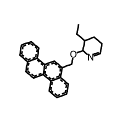 CCC1CCC=NC1OCc1cc2c3ccccc3ccc2c2ccccc12